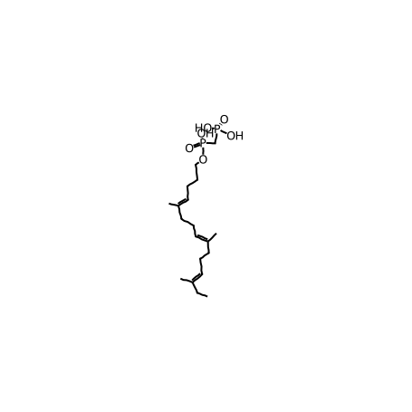 CCC(C)=CCCC(C)=CCCC(C)=CCCCOP(=O)(O)CP(=O)(O)O